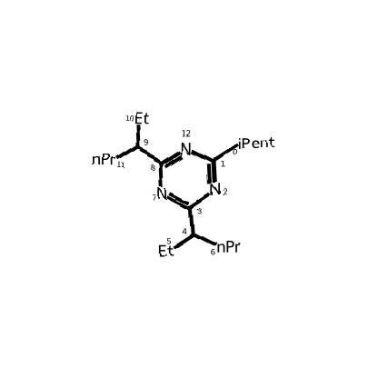 CCCC(C)c1nc(C(CC)CCC)nc(C(CC)CCC)n1